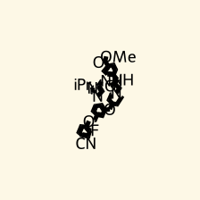 COC(=O)c1ccc(NC(=O)CN2CCC(Oc3cccc(COc4ccc(C#N)cc4F)c3)CC2)c(NCc2cncn2C(C)C)c1